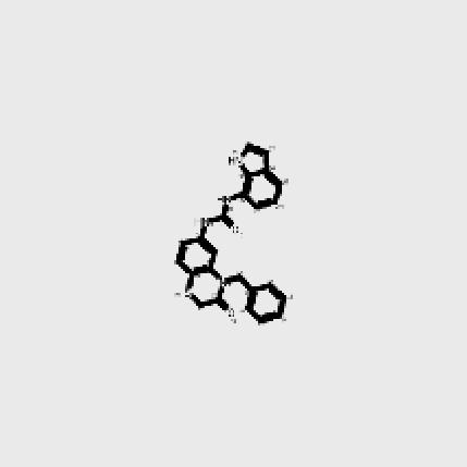 O=C(Nc1ccc2c(c1)N(Cc1ccccc1)C(=O)CS2)Nc1cccc2cc[nH]c12